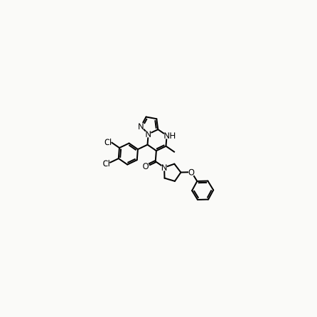 CC1=C(C(=O)N2CCC(Oc3ccccc3)C2)C(c2ccc(Cl)c(Cl)c2)n2nccc2N1